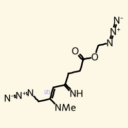 CN/C(=C\C(=N)CCC(=O)OCN=[N+]=[N-])CN=[N+]=[N-]